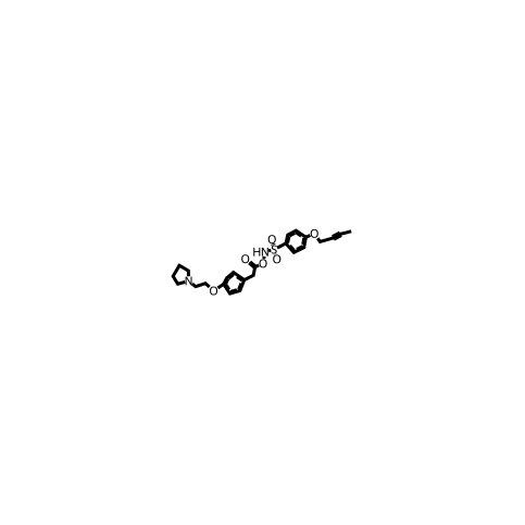 CC#CCOc1ccc(S(=O)(=O)NOC(=O)Cc2ccc(OCCN3CCCC3)cc2)cc1